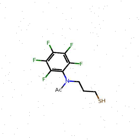 CC(=O)N(CCCS)c1c(F)c(F)c(F)c(F)c1F